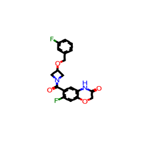 O=C1COc2cc(F)c(C(=O)N3CC(OCc4cccc(F)c4)C3)cc2N1